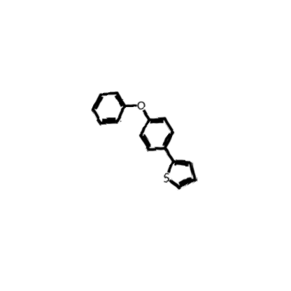 [c]1ccccc1Oc1ccc(-c2cccs2)cc1